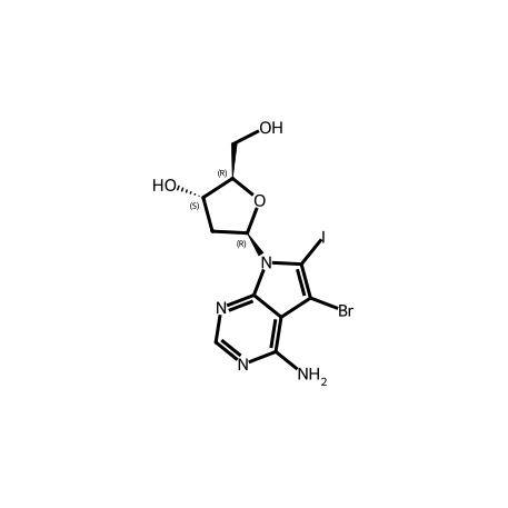 Nc1ncnc2c1c(Br)c(I)n2[C@H]1C[C@H](O)[C@@H](CO)O1